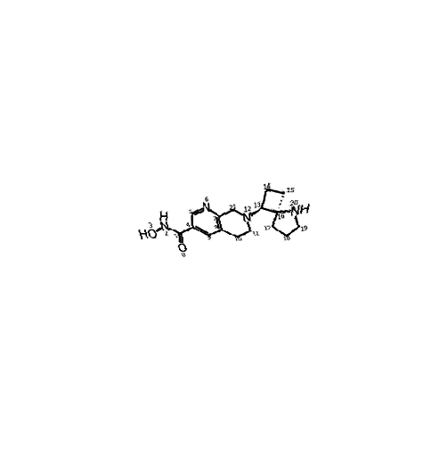 O=C(NO)c1cnc2c(c1)CCN([C@H]1CC[C@]13CCCN3)C2